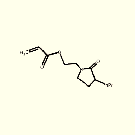 C=CC(=O)OCCN1CCC(CCC)C1=O